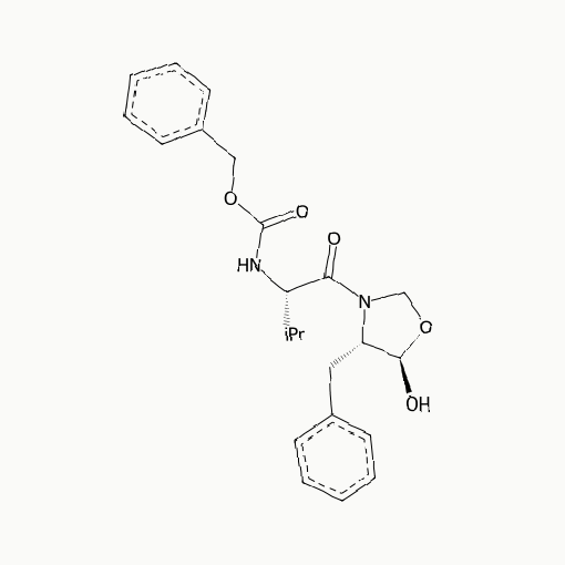 CC(C)[C@H](NC(=O)OCc1ccccc1)C(=O)N1CO[C@@H](O)[C@@H]1Cc1ccccc1